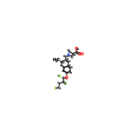 C[C@H]1Cc2cc(OC(F)C(F)CCF)ccc2C=C1CN1CC(C(=O)O)C1